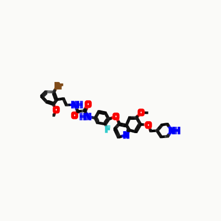 COc1cc2c(Oc3ccc(NC(=O)C(=O)NCCc4c(Br)cccc4OC)cc3F)ccnc2cc1OCC1CCNCC1